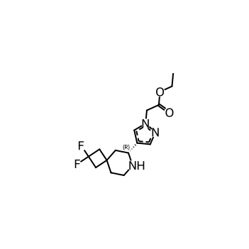 CCOC(=O)Cn1cc([C@H]2CC3(CCN2)CC(F)(F)C3)cn1